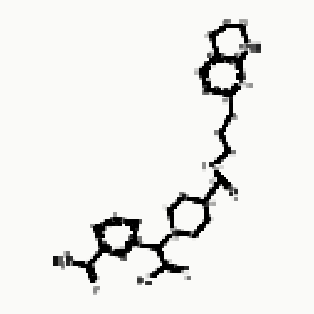 CC(=O)c1cccc(C(C(=O)O)N2CCC(C(=O)NCCCc3ccc4c(n3)NCCC4)CC2)c1